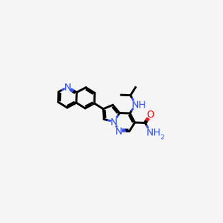 CC(C)Nc1c(C(N)=O)cnn2cc(-c3ccc4ncccc4c3)cc12